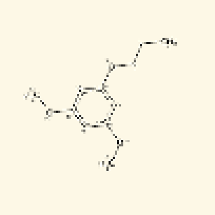 [CH2]CCOc1cc(OC)cc(OC)c1